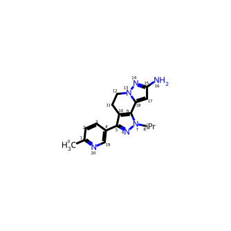 Cc1ccc(-c2nn(C(C)C)c3c2CCn2nc(N)cc2-3)cn1